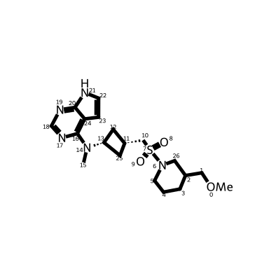 COCC1CCCN(S(=O)(=O)C[C@H]2C[C@@H](N(C)c3ncnc4[nH]ccc34)C2)C1